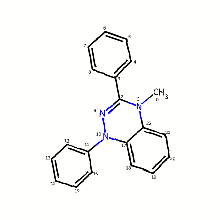 CN1C(c2ccccc2)=NN(c2ccccc2)c2ccccc21